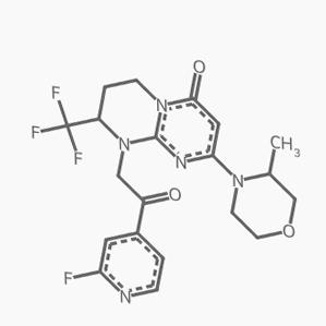 CC1COCCN1c1cc(=O)n2c(n1)N(CC(=O)c1ccnc(F)c1)C(C(F)(F)F)CC2